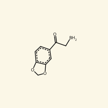 BCC(=O)c1ccc2c(c1)OCO2